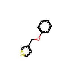 c1ccc(OCc2ccsc2)cc1